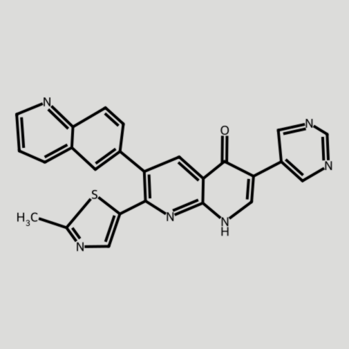 Cc1ncc(-c2nc3[nH]cc(-c4cncnc4)c(=O)c3cc2-c2ccc3ncccc3c2)s1